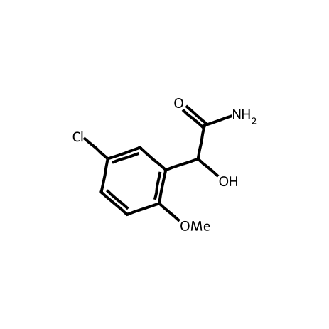 COc1ccc(Cl)cc1C(O)C(N)=O